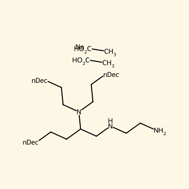 CC(=O)O.CC(=O)O.CCCCCCCCCCCCC(CNCCN)N(CCCCCCCCCCCC)CCCCCCCCCCCC.[Na]